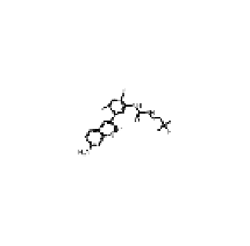 Cc1cc(F)c(NC(=O)NCCC(C)(C)F)cc1-c1cc2cnc(N)cc2nc1C